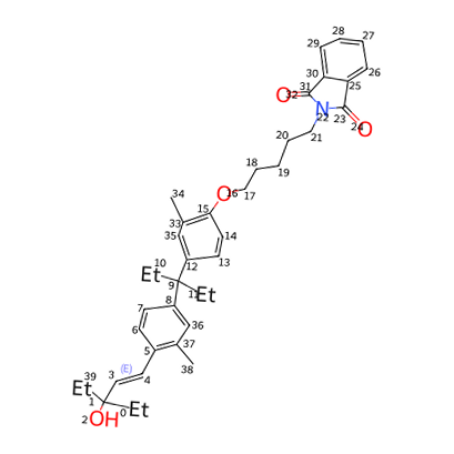 CCC(O)(/C=C/c1ccc(C(CC)(CC)c2ccc(OCCCCCN3C(=O)c4ccccc4C3=O)c(C)c2)cc1C)CC